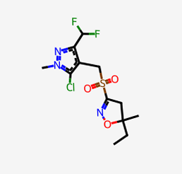 CCC1(C)CC(S(=O)(=O)Cc2c(C(F)F)nn(C)c2Cl)=NO1